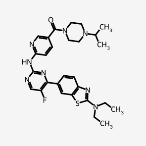 CCN(CC)c1nc2ccc(-c3nc(Nc4ccc(C(=O)N5CCN(C(C)C)CC5)cn4)ncc3F)cc2s1